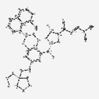 C[C@H]1C[C@@H](N(C)c2nc(OCC34CCCN3CCC4)nc3c2CCN(c2cccc4cccc(Cl)c24)C3)CN1C(=O)/C=C/C(=O)O